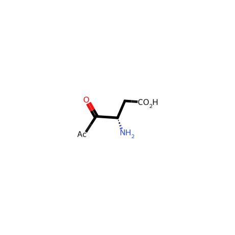 CC(=O)C(=O)[C@@H](N)CC(=O)O